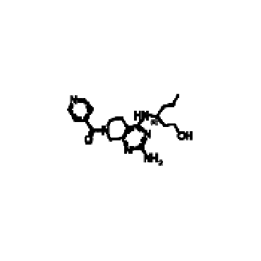 CCC[C@@H](CCO)Nc1nc(N)nc2c1CCN(C(=O)c1ccncc1)C2